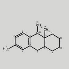 Cc1ccc2c(c1)CC1CCCCC1(C)N2N